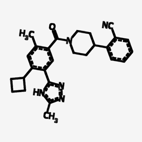 Cc1nnc(-c2cc(C(=O)N3CCC(c4ccccc4C#N)CC3)c(C)cc2C2CCC2)[nH]1